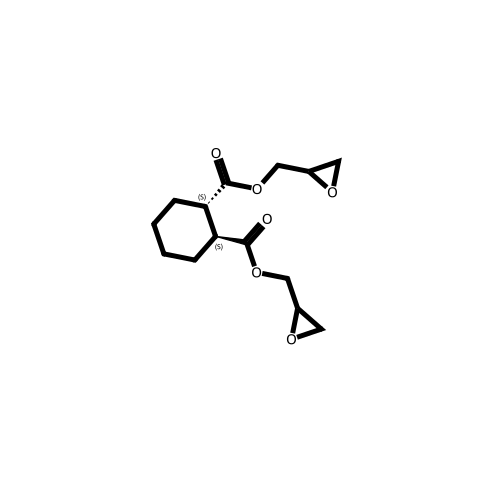 O=C(OCC1CO1)[C@H]1CCCC[C@@H]1C(=O)OCC1CO1